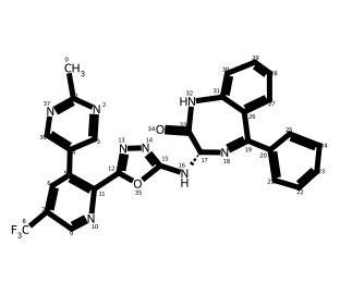 Cc1ncc(-c2cc(C(F)(F)F)cnc2-c2nnc(N[C@H]3N=C(c4ccccc4)c4ccccc4NC3=O)o2)cn1